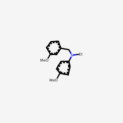 CCN(Cc1cccc(OC)c1)c1ccc(OC)cc1